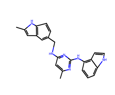 Cc1cc(NCc2ccc3[nH]c(C)cc3c2)nc(Nc2cccc3[nH]ccc23)n1